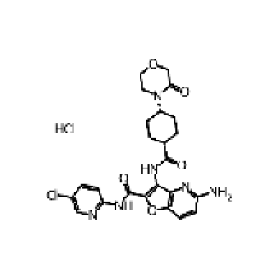 Cl.Nc1ccc2oc(C(=O)Nc3ccc(Cl)cn3)c(NC(=O)[C@H]3CC[C@H](N4CCOCC4=O)CC3)c2n1